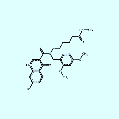 COc1ccc(CN(CCCCCC(=O)NO)C(=O)c2c[nH]c3cc(Br)ccc3c2=O)c(OC)c1